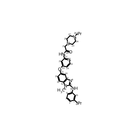 CC(C)c1cccc(Nc2nc3cc(Oc4ccnc(NC(=O)CN5CCN(C(C)C)CC5)c4)ccc3n2C)c1